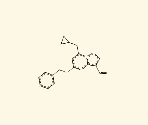 O=Cc1cnn2c(CC3CC3)cc(SCc3ccccc3)nc12